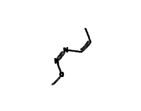 C/C=C\N=N/OC